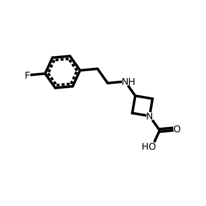 O=C(O)N1CC(NCCc2ccc(F)cc2)C1